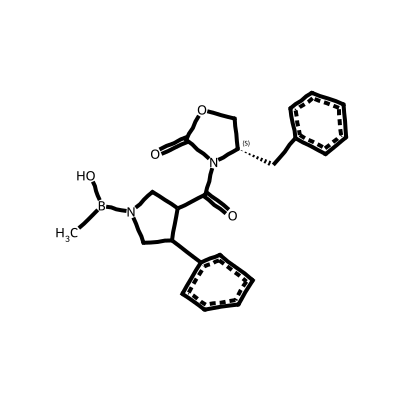 CB(O)N1CC(C(=O)N2C(=O)OC[C@@H]2Cc2ccccc2)C(c2ccccc2)C1